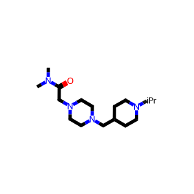 CC(C)N1CCC(CN2CCN(CC(=O)N(C)C)CC2)CC1